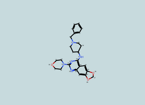 c1ccc(CN2CCC(Nc3nc(N4CCOCC4)nc4cc5c(cc34)OCO5)CC2)cc1